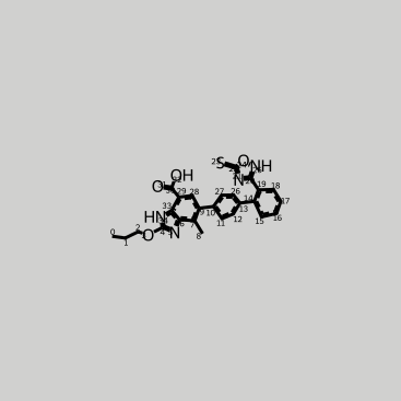 CCCOc1nc2c(C)c(-c3ccc(-c4ccccc4-c4nc(=S)o[nH]4)cc3)cc(C(=O)O)c2[nH]1